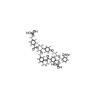 COc1ccccc1COCCCOc1ccc(C2CCN(C(=O)c3ccc(CON(O)O)cc3)CC2OCc2ccc3c(c2)N(C(=O)c2ccc(CON(O)O)cc2)CCC3)cc1